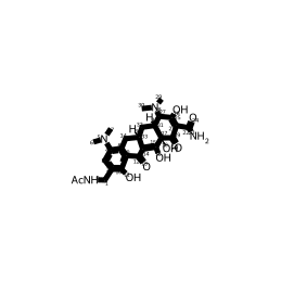 CC(=O)NCc1cc(N(C)C)c2c(c1O)C(=O)C1=C(O)[C@]3(O)C(=O)C(C(N)=O)=C(O)C(N(C)C)[C@H]3C[C@@H]1C2